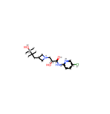 CC(C)(CC1CN(C[C@H](O)C(=O)Nc2ccc(Cl)cn2)C1)[Si](C)(C)O